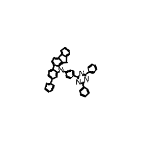 c1ccc(-c2ccc3c4ccc5c(c4n(-c4ccc(-c6nc(-c7ccccc7)nc(-c7ccccc7)n6)cc4)c3c2)Cc2ccccc2-5)cc1